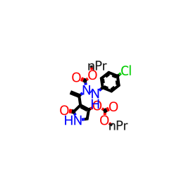 C=C(C1=C(OC(=O)OCCC)CNC1=O)N(Nc1ccc(Cl)cc1)C(=O)OCCC